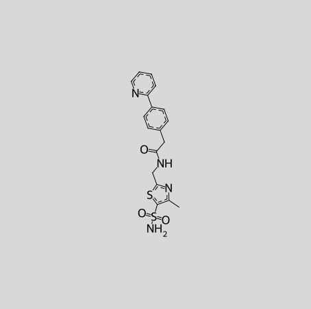 Cc1nc(CNC(=O)Cc2ccc(-c3ccccn3)cc2)sc1S(N)(=O)=O